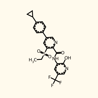 CCS(=O)(=O)c1cc(-c2ccc(C3CC3)cc2)cnc1C(=O)Nc1cc(C(F)(F)F)cnc1O